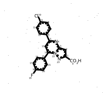 O=C(O)c1cc2nc(-c3ccc(Cl)cc3)cc(-c3ccc(F)cc3)n2n1